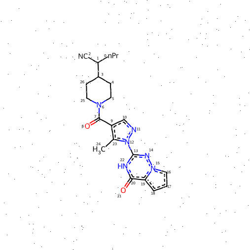 CCCC(C#N)C1CCN(C(=O)c2cnn(-c3nn4cccc4c(=O)[nH]3)c2C)CC1